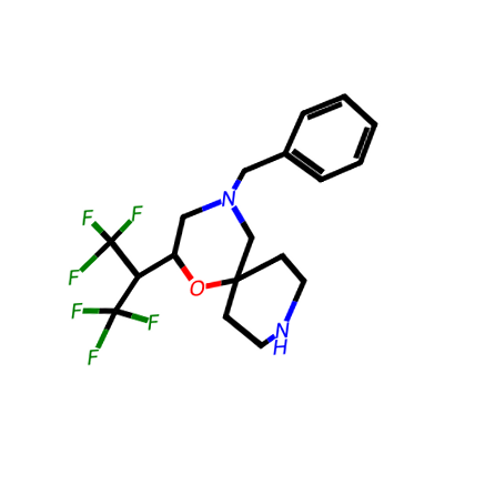 FC(F)(F)C(C1CN(Cc2ccccc2)CC2(CCNCC2)O1)C(F)(F)F